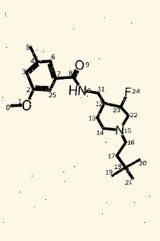 COc1cc(C)cc(C(=O)NCC2CCN(CCC(C)(C)C)CC2F)c1